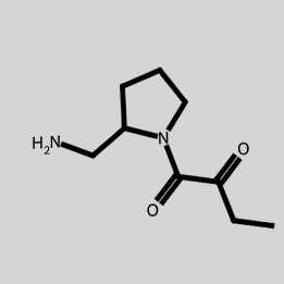 CCC(=O)C(=O)N1CCCC1CN